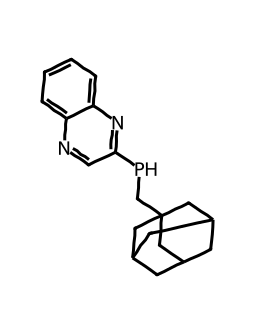 c1ccc2nc(PCC34CC5CC(CC(C5)C3)C4)cnc2c1